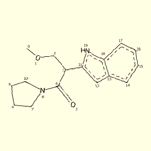 COC[C](C(=O)N1CCCC1)c1cc2ccccc2[nH]1